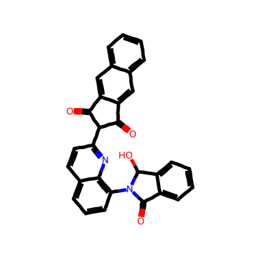 O=C1c2cc3ccccc3cc2C(=O)C1c1ccc2cccc(N3C(=O)c4ccccc4C3O)c2n1